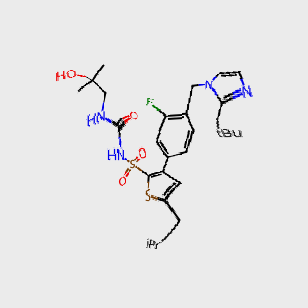 CC(C)Cc1cc(-c2ccc(Cn3ccnc3C(C)(C)C)c(F)c2)c(S(=O)(=O)NC(=O)NCC(C)(C)O)s1